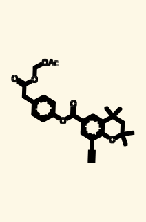 C#Cc1cc(C(=O)Oc2ccc(CC(=O)OCOC(C)=O)cc2)cc2c1OC(C)(C)CC2(C)C